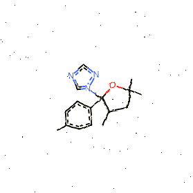 Cc1ccc(C2(n3cncn3)OC(C)(C)CC2C)cc1